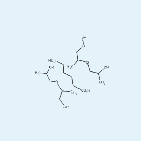 CC(O)COC(C)CO.CC(O)COC(C)COC(C)C.O=C(O)CCCCC(=O)O